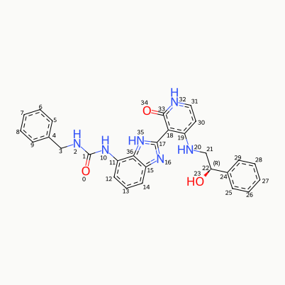 O=C(NCc1ccccc1)Nc1cccc2nc(-c3c(NC[C@H](O)c4ccccc4)cc[nH]c3=O)[nH]c12